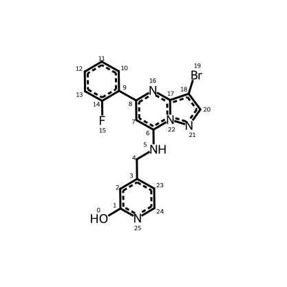 Oc1cc(CNc2cc(-c3ccccc3F)nc3c(Br)cnn23)ccn1